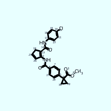 COC(=O)C1(c2ccc(C(=O)NC3=C(C(=O)Nc4ccc(Cl)cc4)CC=C3)cc2)CC1